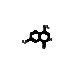 Cc1ccc2c(C)c[nH]c(=O)c2c1